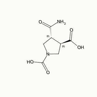 NC(=O)[C@H]1CN(C(=O)O)C[C@@H]1C(=O)O